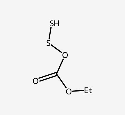 CCOC(=O)OSS